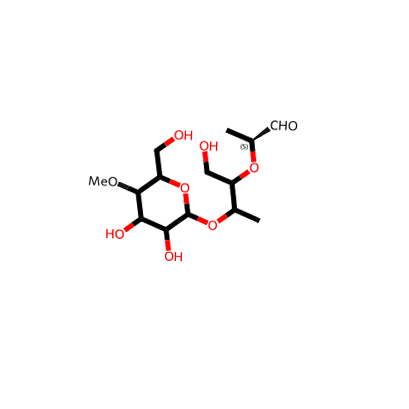 COC1C(CO)OC(OC(C)C(CO)O[C@@H](C)C=O)C(O)C1O